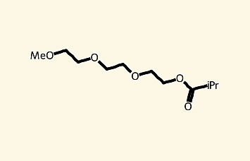 COCCOCCOCCOC(=O)C(C)C